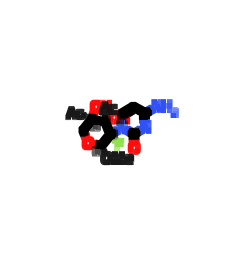 CO[C@@H]1OC[C@](O)(C(C)=O)[C@@](O)(C(C)=O)[C@]1(F)n1ccc(N)nc1=O